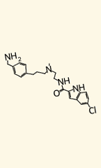 CN(CCCc1ccc(CN)cc1)CCNC(=O)c1cc2cc(Cl)ccc2[nH]1